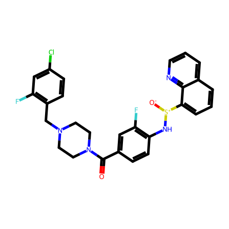 O=C(c1ccc(N[S+]([O-])c2cccc3cccnc23)c(F)c1)N1CCN(Cc2ccc(Cl)cc2F)CC1